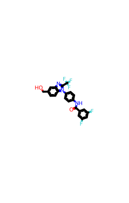 O=C(Nc1ccc(-n2c(C(F)(F)F)nc3cc(CO)ccc32)cc1)c1cc(F)cc(F)c1